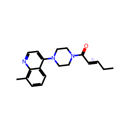 CC/C=C/C(=O)N1CCN(c2ccnc3c(C)cccc23)CC1